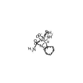 N[NH][Cu]([c]1ccccc1)([N](S)C(N)=O)([N+](=O)[O-])[N+](=O)[O-]